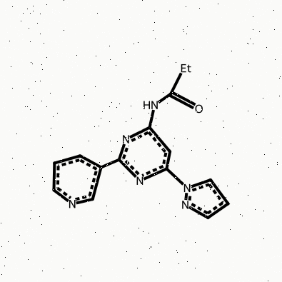 CCC(=O)Nc1cc(-n2cccn2)nc(-c2cccnc2)n1